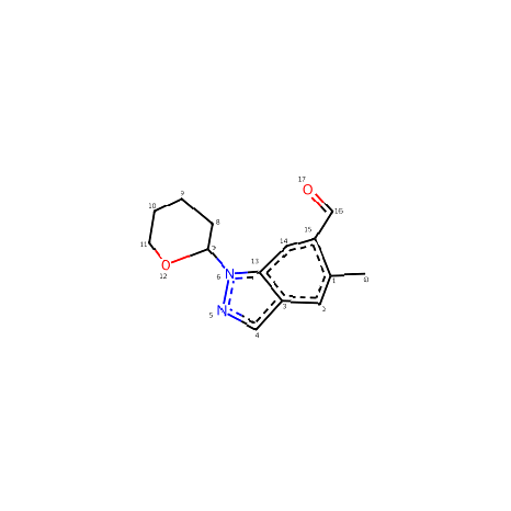 Cc1cc2cnn(C3CCCCO3)c2cc1C=O